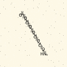 CNCCOCCOCCOCCOCCOCCCOCCOCCOCCC(C)=O